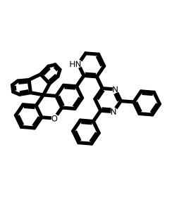 C1=CC(c2cc(-c3ccccc3)nc(-c3ccccc3)n2)=C(c2ccc3c(c2)C2(c4ccccc4O3)c3ccccc3-c3ccccc32)NC1